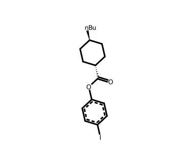 CCCC[C@H]1CC[C@H](C(=O)Oc2ccc(I)cc2)CC1